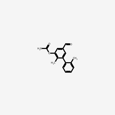 Cc1ccccc1-c1cc(C=O)cc(OC(N)=O)c1C